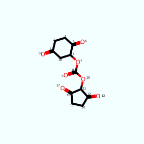 O=C1CCC(=O)C(OC(=O)OC2C(=O)CCC2=O)C1